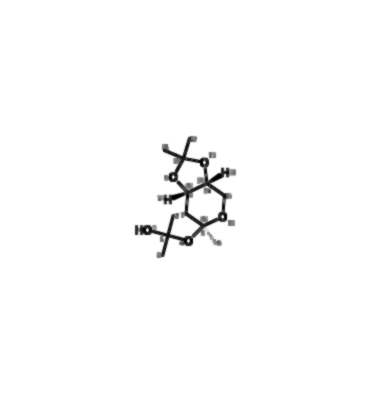 CC(C)(O)O[C@@]1(C)C[C@@H]2OC(C)(C)O[C@@H]2CO1